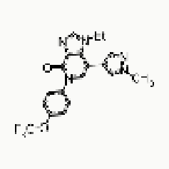 CCn1cnc2c(=O)n(-c3ccc(OC(F)(F)F)cc3)cc(-c3cnn(C)c3)c21